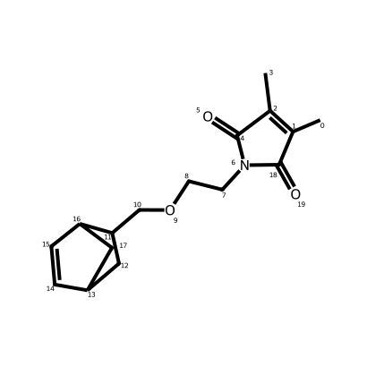 CC1=C(C)C(=O)N(CCOCC2CC3C=CC2C3)C1=O